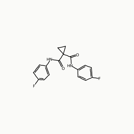 O=C(Nc1ccc(F)cc1)C1(C(=O)Nc2ccc(F)cc2)CC1